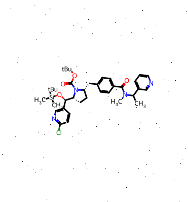 CC(c1cccnc1)N(C)C(=O)c1ccc(C[C@@H]2CC[C@H]([C@H](O[Si](C)(C)C(C)(C)C)c3ccc(Cl)nc3)N2C(=O)OC(C)(C)C)cc1